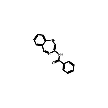 O=C(NC1=CNc2ccccc2C=N1)c1ccccc1